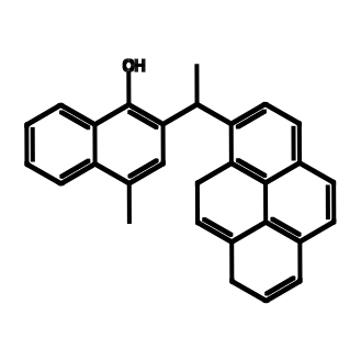 Cc1cc(C(C)c2ccc3ccc4c5c3c2CC=C5CC=C4)c(O)c2ccccc12